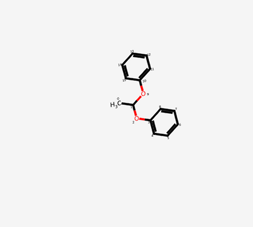 CC(Oc1cc[c]cc1)Oc1ccccc1